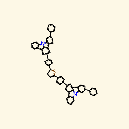 C1=C(c2ccc(-c3cc4c5ccccc5n5c6cc(-c7ccccc7)ccc6c(c3)c45)cc2)SC(c2ccc(-c3cc4c5ccccc5n5c6cc(-c7ccccc7)ccc6c(c3)c45)cc2)C1